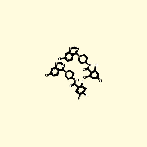 O=C(NC1CCN(c2ncnc3cc(Cl)ccc23)CC1)c1c(Cl)cc(Cl)cc1Cl.O=C(NC1CCN(c2ncnc3cc(Cl)ccc23)CC1)c1cc(F)c(F)cc1F